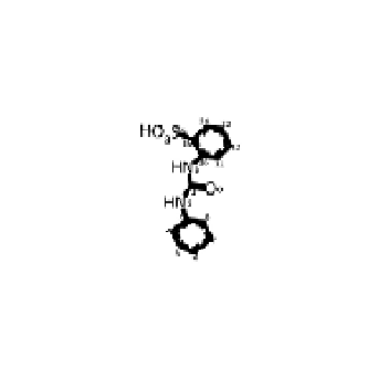 O=C(Nc1ccccc1)Nc1ccccc1S(=O)(=O)O